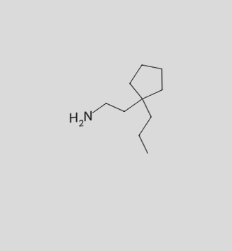 CCCC1(CCN)CCCC1